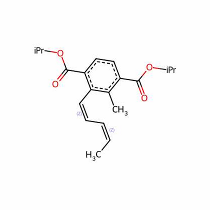 C/C=C\C=C/c1c(C(=O)OC(C)C)ccc(C(=O)OC(C)C)c1C